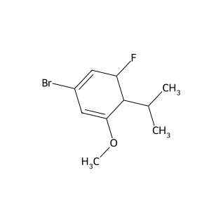 COC1=CC(Br)=CC(F)C1C(C)C